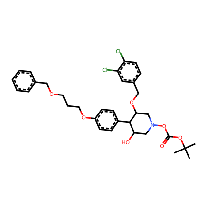 CC(C)(C)OC(=O)ON1CC(O)C(c2ccc(OCCCOCc3ccccc3)cc2)C(OCc2ccc(Cl)c(Cl)c2)C1